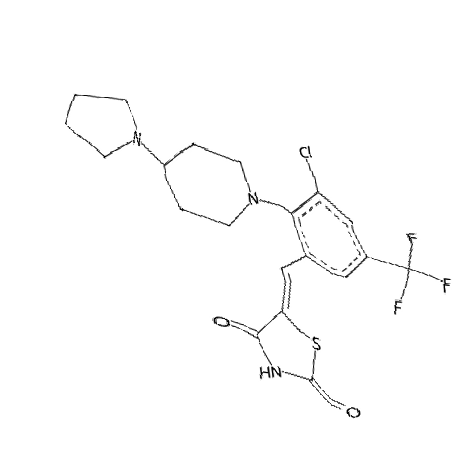 O=C1NC(=O)/C(=C/c2cc(C(F)(F)F)cc(Cl)c2N2CCC(N3CCCC3)CC2)S1